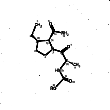 CC[C@@H]1CCN(C(=O)[C@H](C)NC(=O)O)[C@@H]1C(N)=O